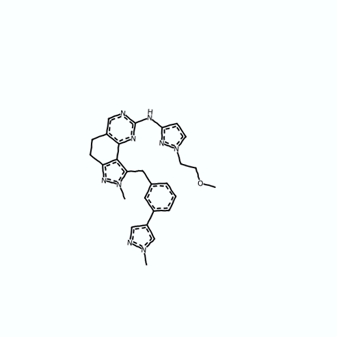 COCCn1ccc(Nc2ncc3c(n2)-c2c(nn(C)c2Cc2cccc(-c4cnn(C)c4)c2)CC3)n1